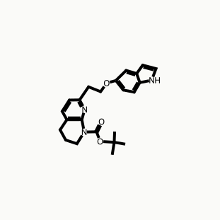 CC(C)(C)OC(=O)N1CCCc2ccc(CCOc3ccc4[nH]ccc4c3)nc21